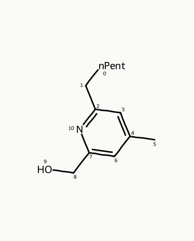 CCCCCCc1cc(C)cc(CO)n1